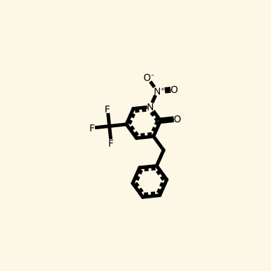 O=c1c(Cc2ccccc2)cc(C(F)(F)F)cn1[N+](=O)[O-]